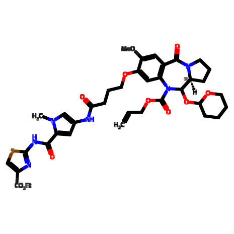 C=CCOC(=O)N1c2cc(OCCCC(=O)Nc3cc(C(=O)Nc4nc(C(=O)OCC)cs4)n(C)c3)c(OC)cc2C(=O)N2CCC[C@H]2C1OC1CCCCO1